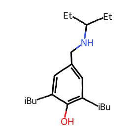 CCC(CC)NCc1cc(C(C)CC)c(O)c(C(C)CC)c1